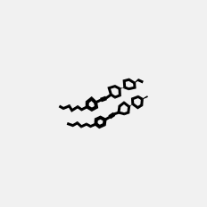 CCCCCCc1ccc(C#CC2CCC([C@H]3CC[C@H](C)CC3)CC2)cc1.CCCCCCc1ccc(C#CC2CCC([C@H]3CC[C@H](CC)CC3)CC2)cc1